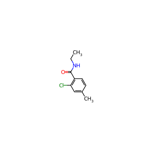 CCNC(=O)c1ccc(C)cc1Cl